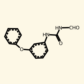 O=CNC(=O)Nc1cccc(Oc2ccccc2)c1